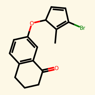 CC1=C(Br)C=CC1Oc1ccc2c(c1)C(=O)CCC2